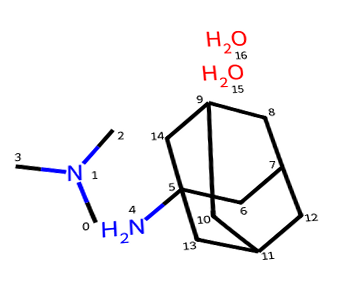 CN(C)C.NC12CC3CC(CC(C3)C1)C2.O.O